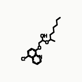 CCCCCCC(C)OC(O)COc1ccc(Cl)c2cccnc12